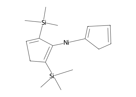 C[Si](C)(C)C1=CCC([Si](C)(C)C)=[C]1[Ni][C]1=CC=CC1